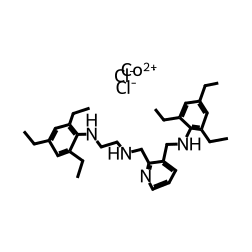 CCc1cc(CC)c(NCCNCc2ncccc2CNc2c(CC)cc(CC)cc2CC)c(CC)c1.[Cl-].[Cl-].[Co+2]